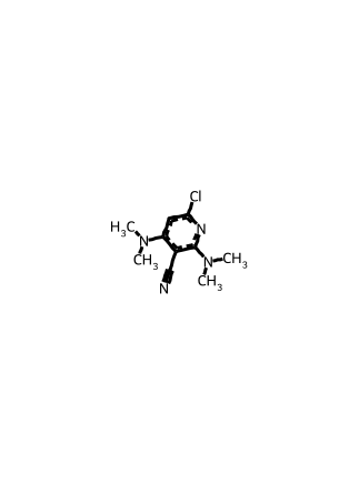 CN(C)c1cc(Cl)nc(N(C)C)c1C#N